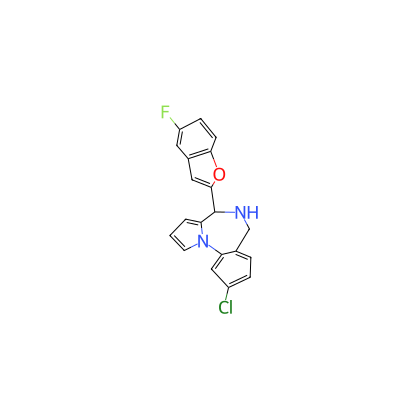 Fc1ccc2oc(C3NCc4ccc(Cl)cc4-n4cccc43)cc2c1